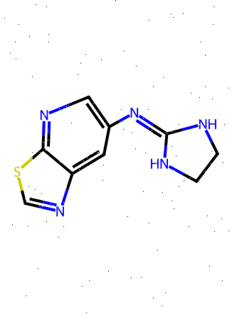 c1nc2cc(N=C3NCCN3)cnc2s1